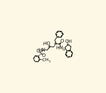 Cc1ccccc1S(=O)(=O)NC[C@@H](O)C[C@@H](Cc1ccccc1)C(=O)N[C@H]1c2ccccc2C[C@H]1O